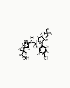 CC(C)(C)O[C@@H]1C[C@@H](C(=O)Nc2cc(C(C)(C)CO)no2)N(c2ccc(Cl)cc2)C1